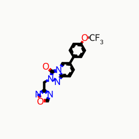 O=c1n(Cc2ncon2)nc2ccc(-c3ccc(OC(F)(F)F)cc3)cn12